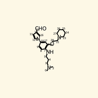 CN(C)CCCNc1ccc(-n2ccc(C=O)c2)cc1OCCN1CCCCC1